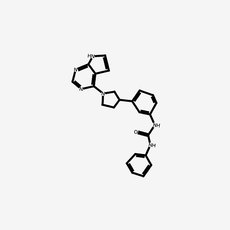 O=C(Nc1ccccc1)Nc1cccc(C2CCN(c3ncnc4[nH]ccc34)C2)c1